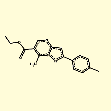 CCOC(=O)c1cnc2cc(-c3ccc(C)cc3)nn2c1N